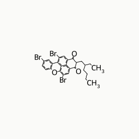 CCCCC(CC)CC1C(=O)c2cc(Br)c3c4c(c(Br)cc(c24)C1=O)-c1cc(Br)ccc1O3